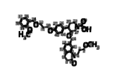 COCCCN1C(=O)CCc2ccc(COC3CN(C(=O)O)CCC3c3ccc(OCCCOCc4ccccc4OC)cc3)cc21